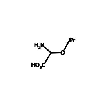 CC(C)OC(N)C(=O)O